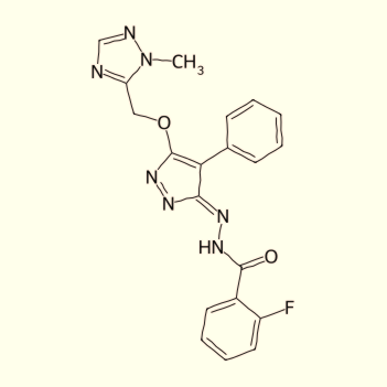 Cn1ncnc1COC1=C(c2ccccc2)/C(=N/NC(=O)c2ccccc2F)N=N1